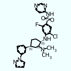 CN(C)[C@H]1C[C@@H](c2cccc(-n3cccn3)c2)CC[C@@H]1Nc1cc(F)c(S(=O)(=O)Nc2ccncn2)cc1Cl